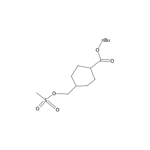 CCCCOC(=O)C1CCC(COS(C)(=O)=O)CC1